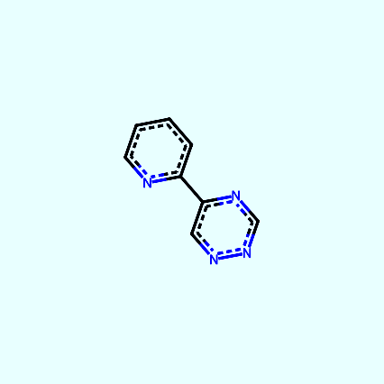 c1ccc(-c2cnncn2)nc1